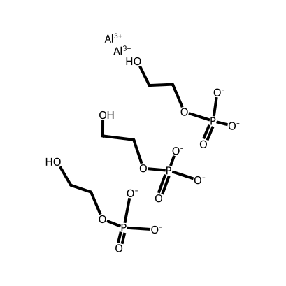 O=P([O-])([O-])OCCO.O=P([O-])([O-])OCCO.O=P([O-])([O-])OCCO.[Al+3].[Al+3]